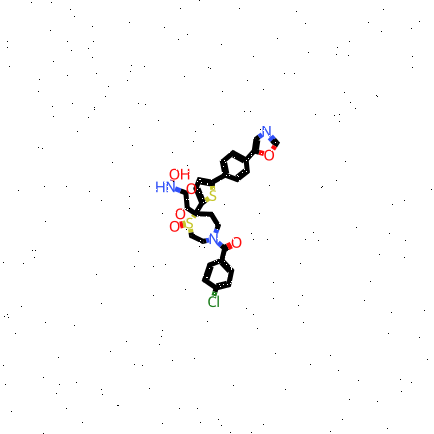 O=C(CC1(c2ccc(-c3ccc(-c4cnco4)cc3)s2)CCN(C(=O)c2ccc(Cl)cc2)CCS1(=O)=O)NO